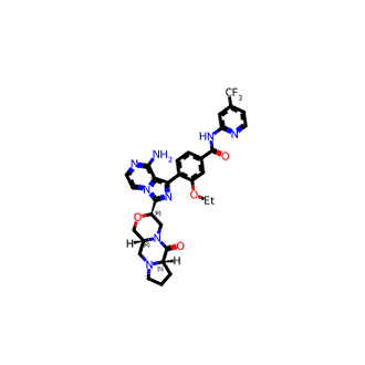 CCOc1cc(C(=O)Nc2cc(C(F)(F)F)ccn2)ccc1-c1nc([C@H]2CN3C(=O)[C@@H]4CCCN4C[C@@H]3CO2)n2ccnc(N)c12